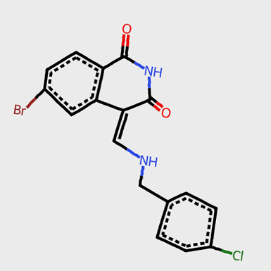 O=C1NC(=O)c2ccc(Br)cc2C1=CNCc1ccc(Cl)cc1